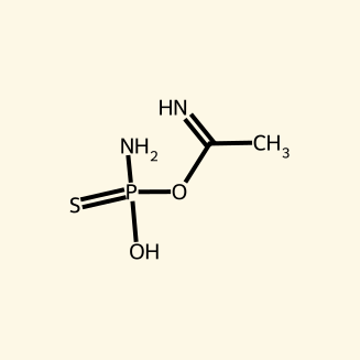 CC(=N)OP(N)(O)=S